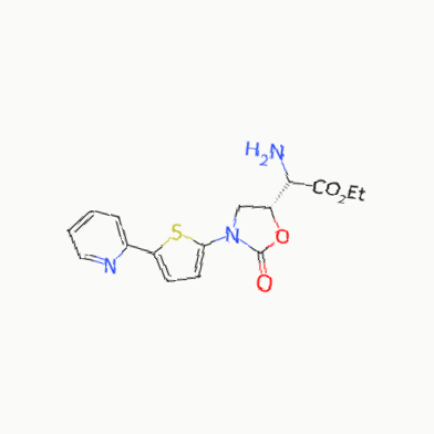 CCOC(=O)C(N)[C@H]1CN(c2ccc(-c3ccccn3)s2)C(=O)O1